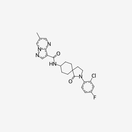 Cc1cnc2c(C(=O)NC3CCC4(CC3)CCN(c3ccc(F)cc3Cl)C4=O)cnn2c1